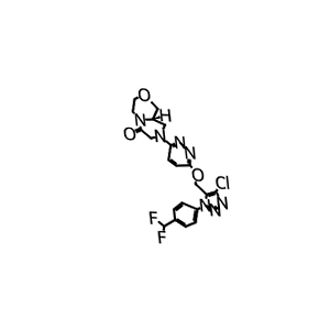 O=C1CN(c2ccc(OCc3c(Cl)nnn3-c3ccc(C(F)F)cc3)nn2)C[C@H]2COCCN12